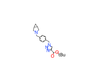 CC(C)(C)OC(=O)c1cn(Cc2ccc(CN3CC4CC4C3)cc2)nn1